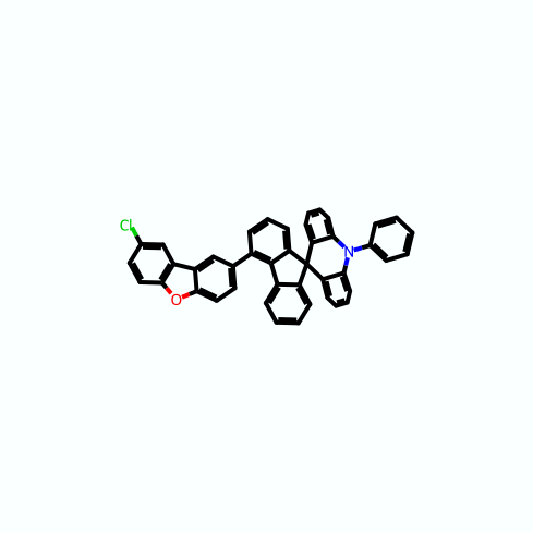 Clc1ccc2oc3ccc(-c4cccc5c4-c4ccccc4C54c5ccccc5N(c5ccccc5)c5ccccc54)cc3c2c1